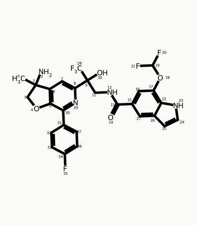 CC1(N)COc2c1cc(C(O)(CNC(=O)c1cc(OC(F)F)c3[nH]ccc3c1)C(F)(F)F)nc2-c1ccc(F)cc1